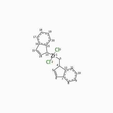 [Cl][Zr]([Cl])([CH2]C1C=Cc2ccccc21)[CH]1C=Cc2ccccc21